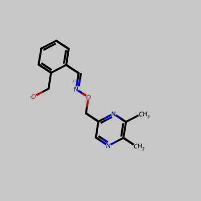 Cc1ncc(CO/N=C/c2ccccc2C[O])nc1C